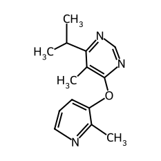 Cc1ncccc1Oc1ncnc(C(C)C)c1C